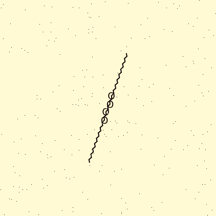 CCCCCCCCCCCCCCCCOCCOCCOCCOCCCCCCCCCCCCCCCC